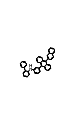 c1ccc(-c2ccccc2Nc2cccc(-c3c4ccccc4c(-c4ccc5ccccc5c4)c4ccccc34)c2)cc1